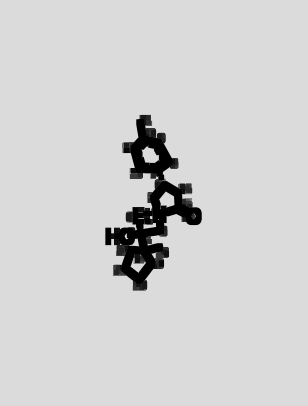 CC[C@@](O)(CN1C[C@H](c2ccc(C)cc2)CC1=O)C1(C)CCCC1